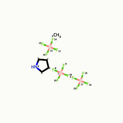 C.C1CCNC1.F[B-](F)(F)F.F[B-](F)(F)F.F[B-](F)(F)F